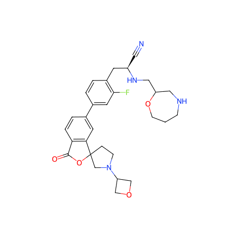 N#C[C@H](Cc1ccc(-c2ccc3c(c2)C2(CCN(C4COC4)C2)OC3=O)cc1F)NCC1CNCCCO1